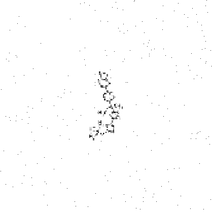 CC[C@@](C)(c1ccc(-c2cnc(N)nc2)cc1)c1noc(-c2cnn(CC(C)(C)O)c2)n1